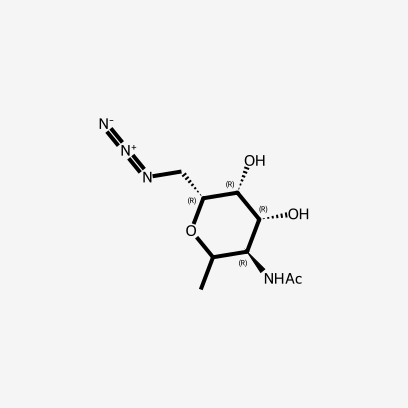 CC(=O)N[C@H]1C(C)O[C@H](CN=[N+]=[N-])[C@H](O)[C@@H]1O